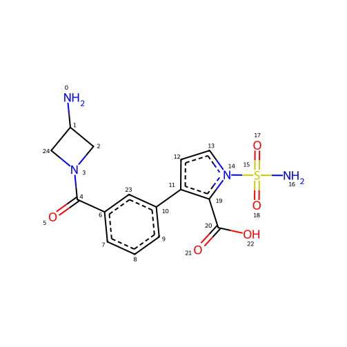 NC1CN(C(=O)c2cccc(-c3ccn(S(N)(=O)=O)c3C(=O)O)c2)C1